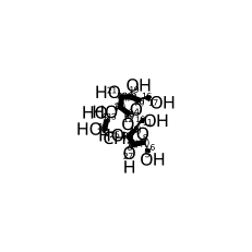 CC(O)CO.OC[C@H]1O[C@@](CO)(O[C@H]2O[C@H](CO)[C@@H](O)[C@H](O)[C@H]2O)[C@@H](O)[C@@H]1O